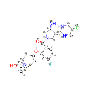 CN1C2CC(Oc3cc(F)ccc3C(=O)N3CC(=N)/C(=C4/N=CC(Cl)=CN4)C3)CC1[C@@H](O)C2